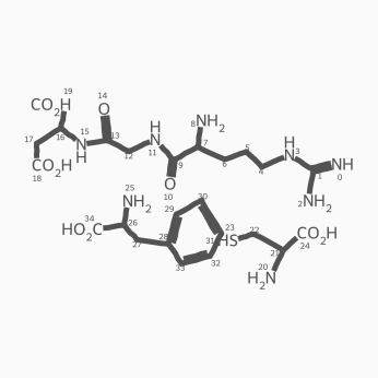 N=C(N)NCCCC(N)C(=O)NCC(=O)NC(CC(=O)O)C(=O)O.NC(CS)C(=O)O.NC(Cc1ccccc1)C(=O)O